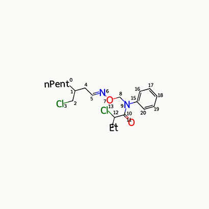 CCCCCC(CCl)CC=NOCN(C(=O)C(Cl)CC)c1ccccc1